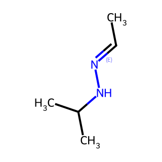 C/C=N/NC(C)C